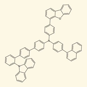 c1ccc(-n2c3ccccc3c3ccccc32)c(-c2ccc(-c3ccc(N(c4ccc(-c5cccc6ccccc56)cc4)c4ccc(-c5cccc6c5oc5ccccc56)cc4)cc3)cc2)c1